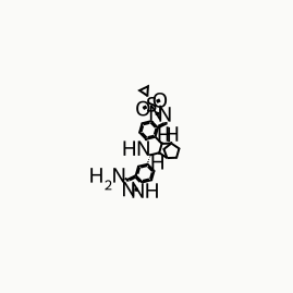 Nc1n[nH]c2ccc([C@@H]3Nc4ccc5c(cnn5S(=O)(=O)C5CC5)c4[C@H]4[C@@H]5CCC(C5)[C@H]43)cc12